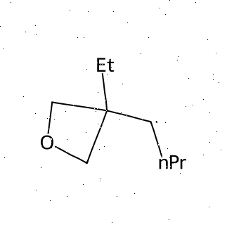 CCC[CH]C1(CC)COC1